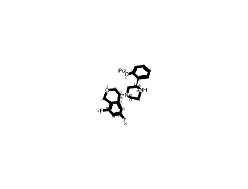 CC(C)Oc1ccccc1[C@@H]1CN([C@H]2COCc3c(F)cc(F)cc32)CCN1